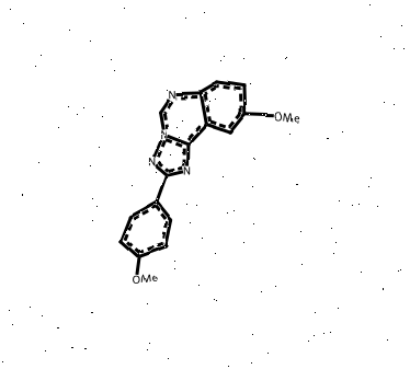 COc1ccc(-c2nc3c4cc(OC)ccc4ncn3n2)cc1